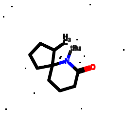 CC1CCCC12CCCC(=O)N2C(C)(C)C